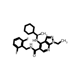 CCn1ncc2c(N[C@H](C)C3CCCCC3)c(C(=O)NCc3c(F)cccc3F)cnc21